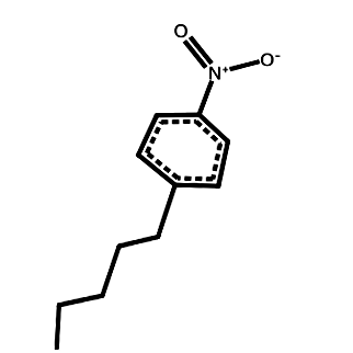 CCCCCc1ccc([N+](=O)[O-])cc1